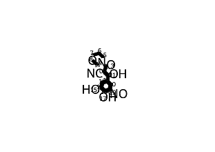 N#C/C(C(=O)N1CCCOC1)=C(/O)c1cc(O)c(O)c(N=O)c1